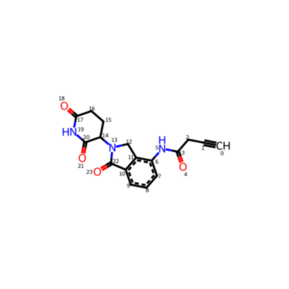 C#CCC(=O)Nc1cccc2c1CN(C1CCC(=O)NC1=O)C2=O